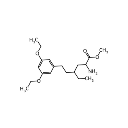 CCOc1cc(CCC(CC)CC(N)C(=O)OC)cc(OCC)c1